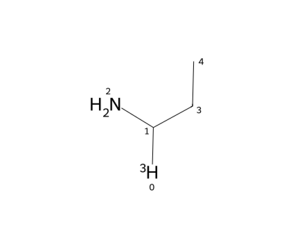 [3H]C(N)CC